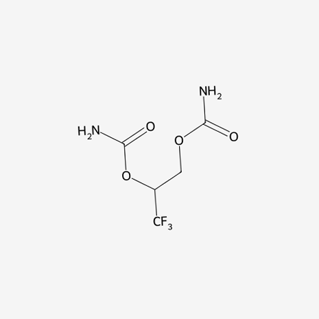 NC(=O)OCC(OC(N)=O)C(F)(F)F